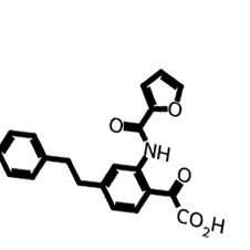 O=C(O)C(=O)c1ccc(CCc2ccccc2)cc1NC(=O)c1ccco1